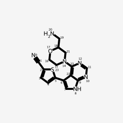 N#Cc1ccc(-c2c[nH]c3ncnc(N4CCOC(CN)C4)c23)s1